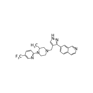 CC1CN(Cc2c[nH]nc2-c2ccc3ccncc3c2)CCN1c1ccc(C(F)(F)F)cn1